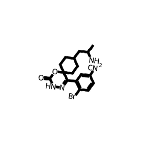 CC(N)CC1CCC2(CC1)OC(=O)NN=C2c1cc(C#N)ccc1Br